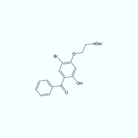 CCCCCCCCCCCCOc1cc(O)c(C(=O)c2ccccc2)cc1Br